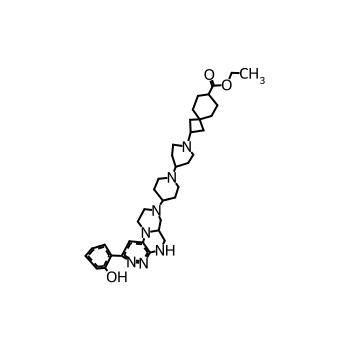 CCOC(=O)C1CCC2(CC1)CC(N1CCC(N3CCC(N4CCN5c6cc(-c7ccccc7O)nnc6NCC5C4)CC3)CC1)C2